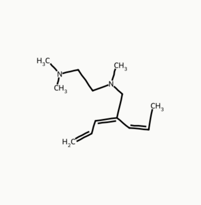 C=C/C=C(\C=C/C)CN(C)CCN(C)C